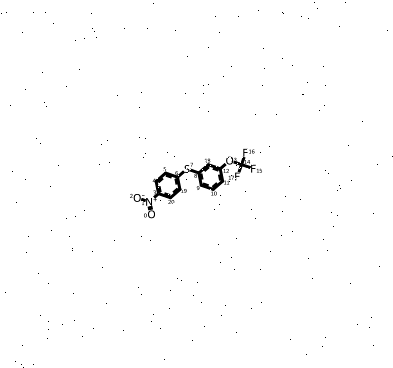 O=[N+]([O-])c1ccc(Sc2cccc(OC(F)(F)F)c2)cc1